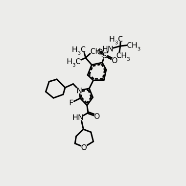 CC(C)(C)NS(=O)(=O)c1ccc(-c2cc(C(=O)NC3CCOCC3)c(F)n2CC2CCCCC2)cc1C(C)(C)C